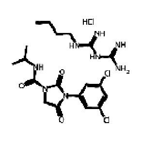 CC(C)NC(=O)N1CC(=O)N(c2cc(Cl)cc(Cl)c2)C1=O.CCCCNC(=N)NC(=N)N.Cl